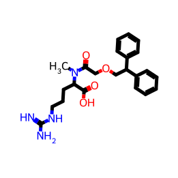 CN(C(=O)COCC(c1ccccc1)c1ccccc1)C(CCCNC(=N)N)C(=O)O